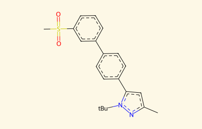 Cc1cc(-c2ccc(-c3cccc(S(C)(=O)=O)c3)cc2)n(C(C)(C)C)n1